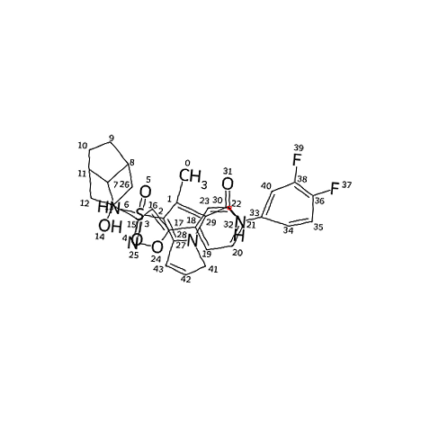 Cc1c(S(=O)(=O)NC2C3CCC2CC(O)(c2cc(-c4ccccc4)on2)C3)c2n(c1C(=O)Nc1ccc(F)c(F)c1)CC=C2